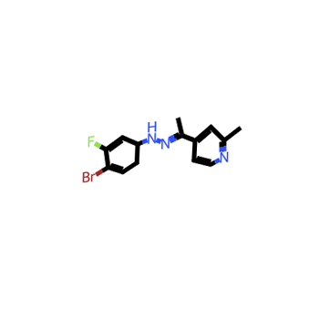 C/C(=N\NC1C=C(F)C(Br)=CC1)c1ccnc(C)c1